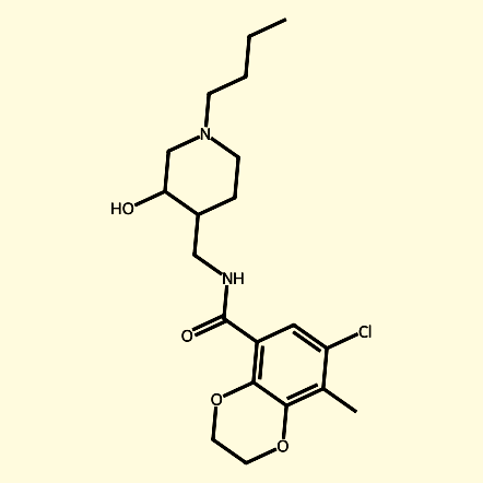 CCCCN1CCC(CNC(=O)c2cc(Cl)c(C)c3c2OCCO3)C(O)C1